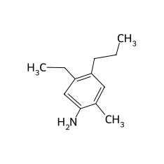 CCCc1cc(C)c(N)cc1CC